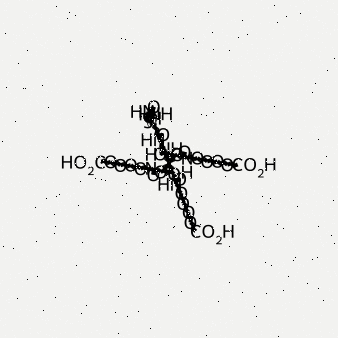 O=C(O)CCOCCOCCOCCOCCNC(=O)COc1cc(OCC(=O)NCCOCCOCCOCCOCCC(=O)O)cc(-c2cc(OCC(=O)NCCOCCOCCOCCOCCC(=O)O)cc(C(=O)NCCNC(=O)CCCC[C@@H]3SC[C@@H]4NC(=O)N[C@@H]43)c2)c1